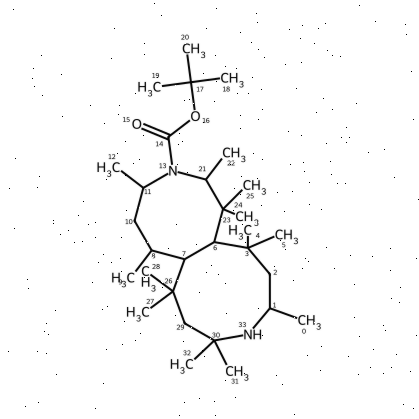 CC1CC(C)(C)C2C(C(C)CC(C)N(C(=O)OC(C)(C)C)C(C)C2(C)C)C(C)(C)CC(C)(C)N1